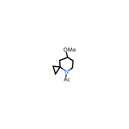 COC1CCN(C(C)=O)C2(CC2)C1